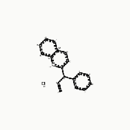 C=CC(c1ccccc1)c1ccc2ccccc2n1.Cl